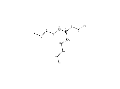 CCCCOB(CCC)OCCCC